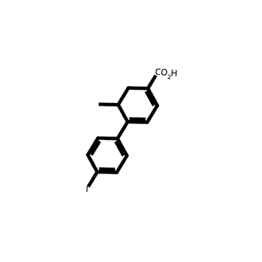 CC1CC(C(=O)O)=CC=C1c1ccc(I)cc1